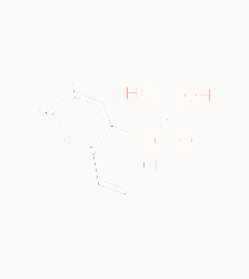 C/C=C\c1ccccc1OP(=O)(O)O